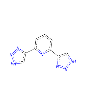 c1cc(-c2c[nH]nn2)nc(-c2c[nH]nn2)c1